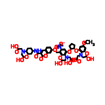 COc1ccc(N(CC(=O)O)CC(=O)O)c(O[C@@H]2CCC[C@@H]2Oc2cc([N+](=O)[O-])c(COc3ccc4cc(C(=O)NC5CCC(N(CC(=O)O)CC(=O)O)CC5)c(=O)oc4c3)cc2N(CC(=O)O)CC(=O)O)c1